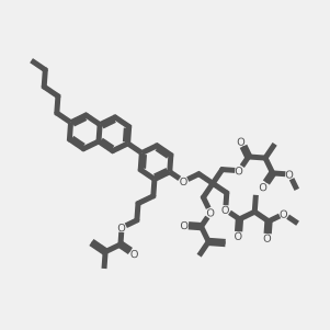 C=C(C)C(=O)OCCCc1cc(-c2ccc3cc(CCCCC)ccc3c2)ccc1OCC(COC(=O)C(=C)C)(COC(=O)C(C)C(=O)OC)COC(=O)C(C)C(=O)OC